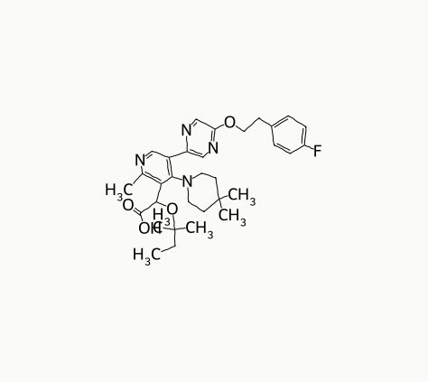 CCC(C)(C)OC(C(=O)O)c1c(C)ncc(-c2cnc(OCCc3ccc(F)cc3)cn2)c1N1CCC(C)(C)CC1